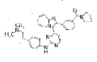 CN(C)CCc1ccc(Nc2nccc(-c3c(-c4cccc(C(=O)N5CCCC5)c4)nc4ccccn34)n2)cc1